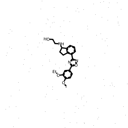 CCOc1cc(-c2nc(-c3cccc4c3CCC4NCCO)no2)ccc1OI